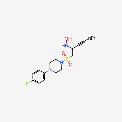 CCCC#CC(CS(=O)(=O)N1CCN(c2ccc(F)cc2)CC1)NO